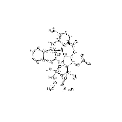 CCC(=O)OC1C(OC(=O)CC)[C@H](n2cnc3c(N)ccnc32)O[C@@H]1C(C)OP(=O)(NC(C)C(=O)OC(C)C)Oc1cccc2ccccc12